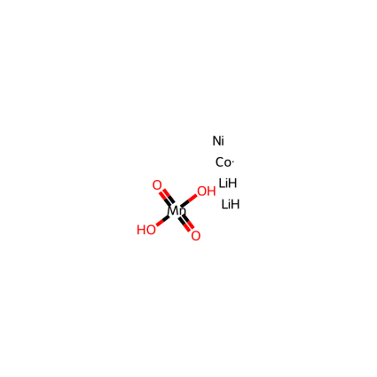 [Co].[LiH].[LiH].[Ni].[O]=[Mn](=[O])([OH])[OH]